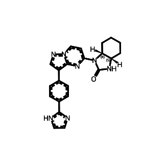 O=C1N[C@H]2CCCC[C@H]2N1c1ccn2ncc(-c3ccc(-c4ncc[nH]4)cc3)c2n1